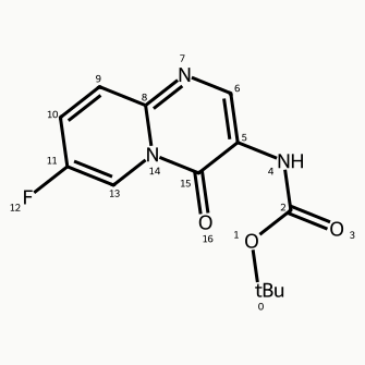 CC(C)(C)OC(=O)Nc1cnc2ccc(F)cn2c1=O